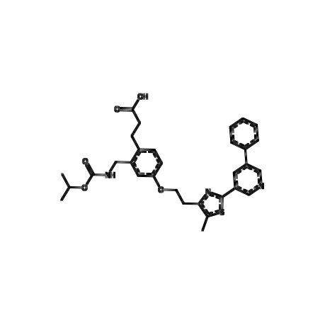 Cc1sc(-c2cncc(-c3ccccc3)c2)nc1CCOc1ccc(CCC(=O)O)c(CNC(=O)OC(C)C)c1